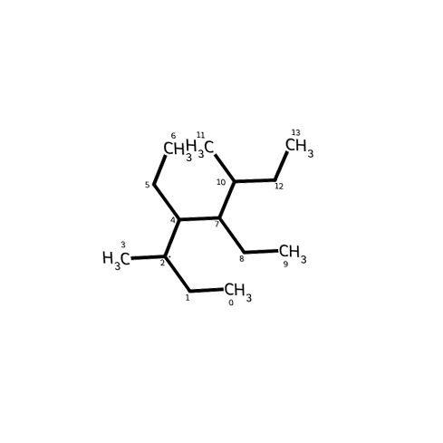 CC[C](C)C(CC)C(CC)C(C)CC